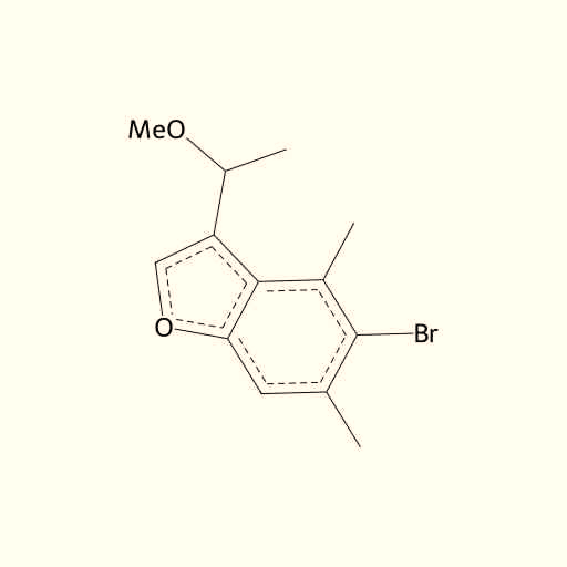 COC(C)c1coc2cc(C)c(Br)c(C)c12